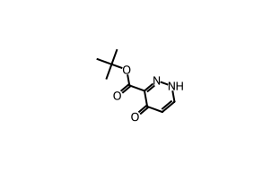 CC(C)(C)OC(=O)c1n[nH]ccc1=O